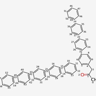 CC(=O)Cc1ccccc1.c1ccccc1.c1ccccc1.c1ccccc1.c1ccccc1.c1ccccc1.c1ccccc1.c1ccccc1.c1ccccc1